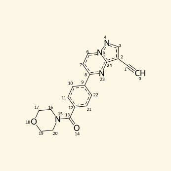 C#Cc1cnn2ccc(-c3ccc(C(=O)N4CCOCC4)cc3)nc12